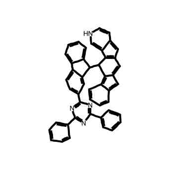 C1=C2C=c3ccccc3=C2C(C2c3ccccc3-c3ccc(-c4nc(-c5ccccc5)nc(-c5ccccc5)n4)cc32)c2c1cc1cc[nH]cc2-1